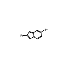 CC(C)c1ccn2cc(C(C)C)cc2c1